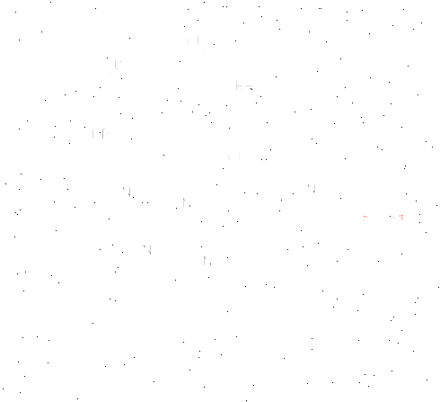 Bc1c(B)c(B)c(-c2nc(-c3ccccc3-c3ccccc3)nc(-n3c4ccccc4c4cc(-c5ccccc5)c(N(C)c5ccccc5)cc43)n2)c(B)c1B